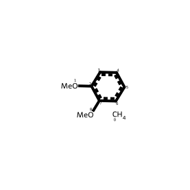 C.COc1ccccc1OC